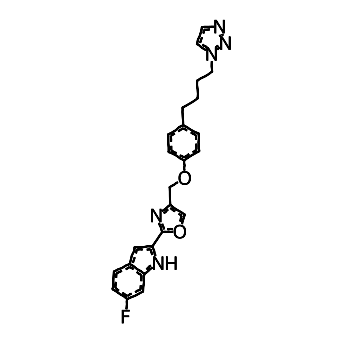 Fc1ccc2cc(-c3nc(COc4ccc(CCCCn5ccnn5)cc4)co3)[nH]c2c1